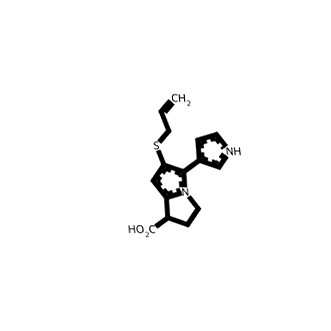 C=CCSc1cc2n(c1-c1cc[nH]c1)CCC2C(=O)O